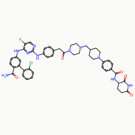 NC(=O)c1ccc(Nc2nc(Nc3ccc(CC(=O)N4CCN(CC5CCN(c6ccc(C(=O)NC7CCC(=O)NC7=O)cc6)CC5)CC4)cc3)ncc2F)cc1-c1ccccc1Cl